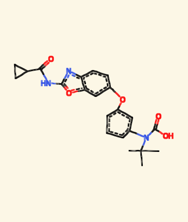 CC(C)(C)N(C(=O)O)c1cccc(Oc2ccc3nc(NC(=O)C4CC4)oc3c2)c1